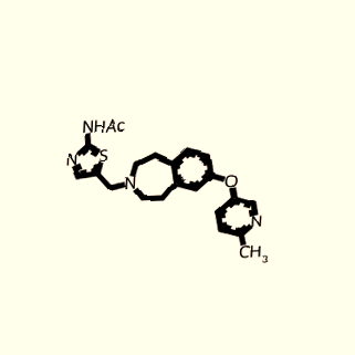 CC(=O)Nc1ncc(CN2CCc3ccc(Oc4ccc(C)nc4)cc3CC2)s1